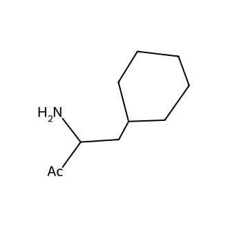 CC(=O)C(N)CC1CCCCC1